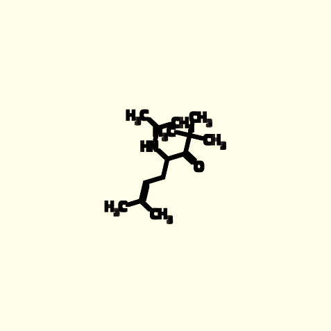 CC(C)=CCC(NC(C)C)C(=O)C(C)(C)C